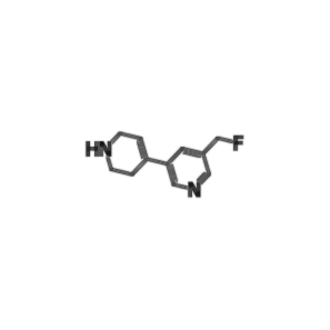 FCc1cncc(C2=CCNCC2)c1